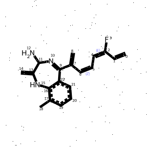 C=C/C(F)=C\C=C/C(=C)C1=NC(N)C(=C)Nc2c(C)cccc21